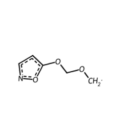 [CH2]OCOc1ccno1